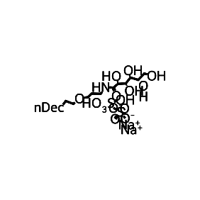 CCCCCCCCCCCCOCCCNC(=O)[C@H](O)[C@@H](O)[C@H](O)[C@H](O)CO.O=S(=O)(O)O.O=S(=O)([O-])[O-].[Na+].[Na+]